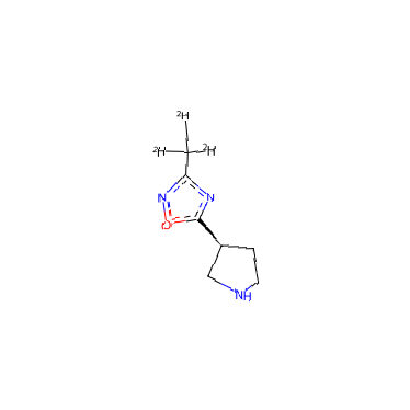 [2H]C([2H])([2H])c1noc([C@H]2CCNC2)n1